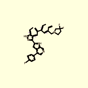 C=C/C(=C\C(=C/C)C(=C)/C=c1/c(-c2cc3c(-c4ccc(F)cc4)cncc3[nH]2)n[nH]/c1=C/C)CN1CCC(F)(F)C1